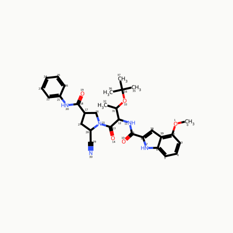 COc1cccc2[nH]c(C(=O)NC(C(=O)N3CC(C(=O)Nc4ccccc4)CC3C#N)C(C)OC(C)(C)C)cc12